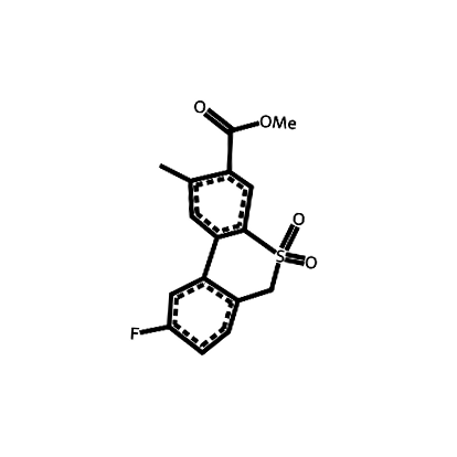 COC(=O)c1cc2c(cc1C)-c1cc(F)ccc1CS2(=O)=O